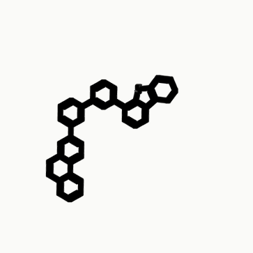 C1=Cc2sc3c(-c4cccc(-c5cccc(-c6ccc7c(ccc8ccccc87)c6)c5)c4)cccc3c2CC1